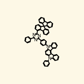 c1ccc(-c2nc(-c3ccc(-n4c5ccccc5c5c6c7ccccc7n(-c7ccccc7)c6ccc54)cc3)nc(-c3cccc4c3-c3ccccc3C43c4ccccc4-c4ccccc43)n2)cc1